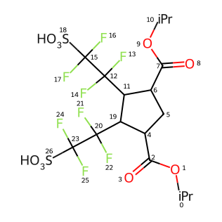 CC(C)OC(=O)C1CC(C(=O)OC(C)C)C(C(F)(F)C(F)(F)S(=O)(=O)O)C1C(F)(F)C(F)(F)S(=O)(=O)O